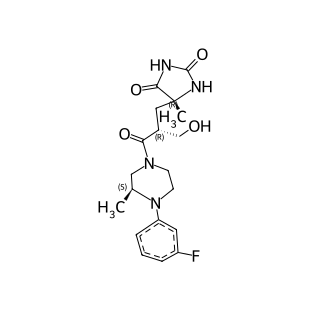 C[C@H]1CN(C(=O)[C@@H](CO)C[C@@]2(C)NC(=O)NC2=O)CCN1c1cccc(F)c1